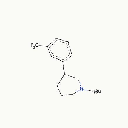 CC(C)(C)N1CCCC(c2c[c]cc(C(F)(F)F)c2)C1